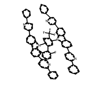 Fc1cccc(F)c1-c1cc(-n2c3cc(-c4ccc(-c5ccccc5)nc4)ccc3c3ccc(-c4ccc(-c5ccccc5)nc4)cc32)c(C(F)(F)F)cc1-n1c2cc(-c3ccc(-c4ccccc4)nc3)ccc2c2ccc(-c3ccc(-c4ccccc4)nc3)cc21